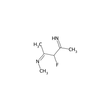 CN=C(C)C(F)C(C)=N